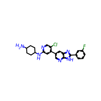 NC1CCC(Nc2cc(-c3cnc4[nH]c(-c5cccc(F)c5)nc4c3)c(Cl)cn2)CC1